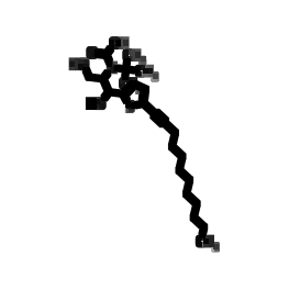 CCCCCCCCCCC#Cc1ccc(C(O)C(CO)N(C(=O)O)C(C)(C)C)s1